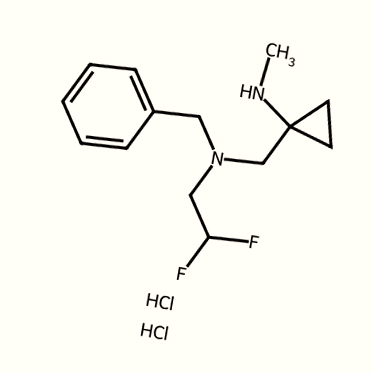 CNC1(CN(Cc2ccccc2)CC(F)F)CC1.Cl.Cl